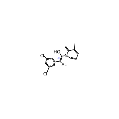 C=C1C(C)=CC=CN1/C(O)=C(\C(C)=O)c1cc(Cl)cc(Cl)c1